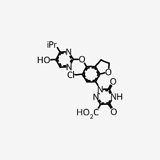 CC(C)c1nc(Oc2c(Cl)cc(-n3nc(C(=O)O)c(=O)[nH]c3=O)c3c2CCO3)ncc1O